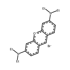 CCN(CC)c1ccc2cc3ccc(N(CC)CC)cc3[o+]c2c1.[Br-]